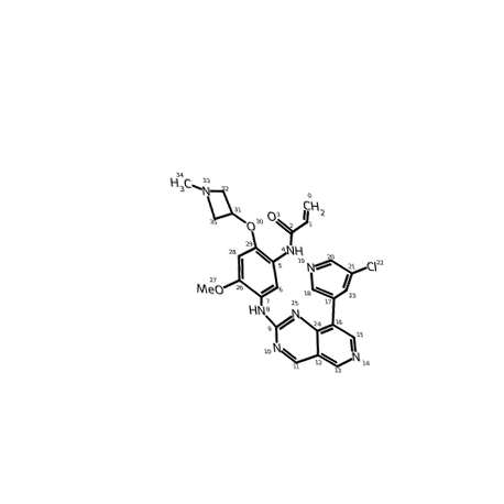 C=CC(=O)Nc1cc(Nc2ncc3cncc(-c4cncc(Cl)c4)c3n2)c(OC)cc1OC1CN(C)C1